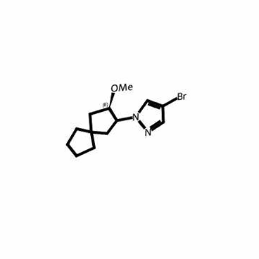 CO[C@@H]1CC2(CCCC2)CC1n1cc(Br)cn1